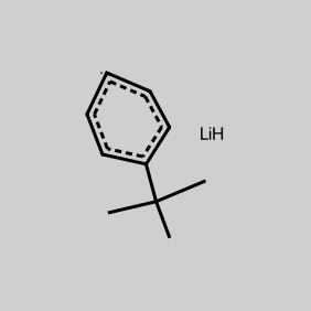 CC(C)(C)c1cc[c]cc1.[LiH]